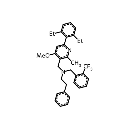 CCc1cccc(CC)c1-c1cc(OC)c(CN(CCc2ccccc2)Cc2ccccc2C(F)(F)F)c(C)n1